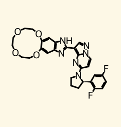 Fc1ccc(F)c([C@H]2CCCN2c2ccn3ncc(-c4nc5cc6c(cc5[nH]4)OCCOCCOCCO6)c3n2)c1